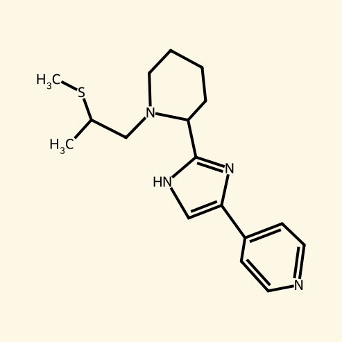 CSC(C)CN1CCCCC1c1nc(-c2ccncc2)c[nH]1